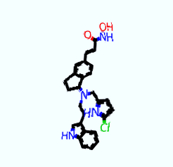 O=C(C=Cc1ccc2c(c1)CCC2N(CCc1c[nH]c2ccccc12)Cc1ccc(Cl)[nH]1)NO